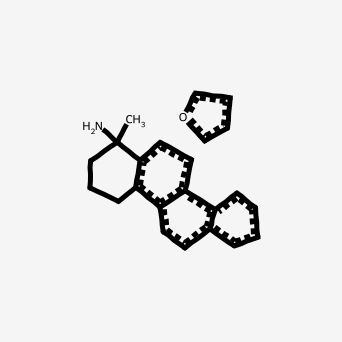 CC1(N)CCCc2c1ccc1c2ccc2ccccc21.c1ccoc1